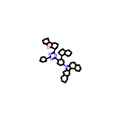 c1ccc(-c2nc(-c3ccc(-n4c5cc6ccccc6cc5c5c6ccccc6ccc54)cc3-c3cccc4ccccc34)nc(-c3cccc4c3oc3ccccc34)n2)cc1